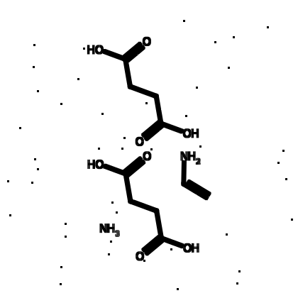 C=CN.N.O=C(O)CCC(=O)O.O=C(O)CCC(=O)O